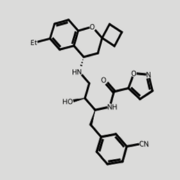 CCc1ccc2c(c1)[C@@H](NC[C@H](O)[C@H](Cc1cccc(C#N)c1)NC(=O)c1ccno1)CC1(CCC1)O2